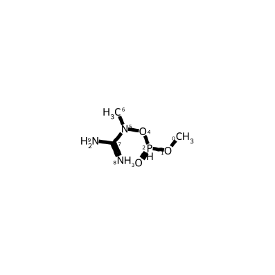 CO[PH](=O)ON(C)C(=N)N